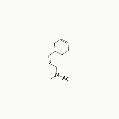 CC(=O)N(C)C/C=C\C1CC=CCC1